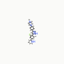 Cc1cc(C2CCCCN2)cc(F)c1-c1cc(-c2ccc(N3CCN(C)CC3)cc2)n[nH]1